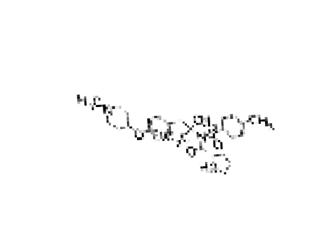 CCOC(=O)[C@](C)(Cc1ccc(OC2CCN(C)CC2)cc1)N(C(=O)[C@@H]1CCCN1)S(=O)(=O)c1ccc(C)cc1